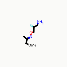 COCC(C)=NOCC(F)CN